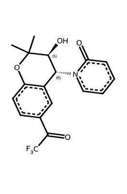 CC1(C)Oc2ccc(C(=O)C(F)(F)F)cc2[C@@H](n2ccccc2=O)[C@@H]1O